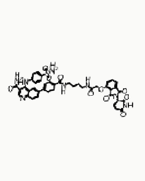 NC(=O)c1cnc2ccc(-c3ccc(C(=O)NCCCCNC(=O)COc4cccc5c4C(=O)N(C4CCC(=O)NC4=O)C5=O)cc3)cc2c1Nc1ccc(S(N)(=O)=O)cc1